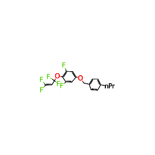 CCCc1ccc(COc2cc(F)c(OC(F)(F)C=C(F)F)c(F)c2)cc1